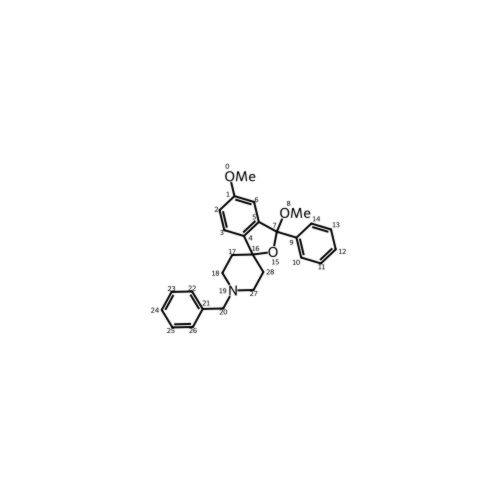 COc1ccc2c(c1)C(OC)(c1ccccc1)OC21CCN(Cc2ccccc2)CC1